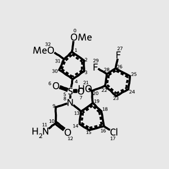 COc1ccc(S(=O)(=O)N(CC(N)=O)c2ccc(Cl)cc2C(O)c2cccc(F)c2F)cc1OC